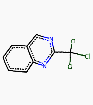 ClC(Cl)(Cl)c1ncc2ccccc2n1